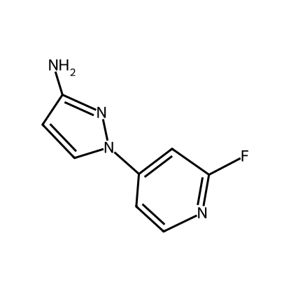 Nc1ccn(-c2ccnc(F)c2)n1